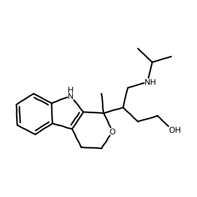 CC(C)NCC(CCO)C1(C)OCCc2c1[nH]c1ccccc21